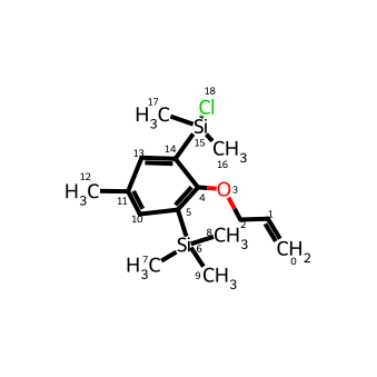 C=CCOc1c([Si](C)(C)C)cc(C)cc1[Si](C)(C)Cl